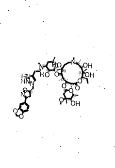 CC[C@H]1OC(=O)[C@H](C)[C@@H](O[C@H]2C[C@@](C)(OC)[C@@H](O)[C@H](C)O2)[C@H](C)[C@@H](O[C@@H]2O[C@H](C)C[C@H](N(C)CCC3=CN(C[C@H]4CC(c5ccc6c(c5)OCO6)=NO4)NN3)[C@H]2O)[C@](C)(O)CCN(C)[C@H](C)[C@@H](O)[C@]1(C)O